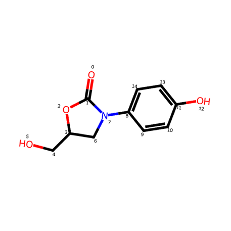 O=C1OC(CO)CN1c1ccc(O)cc1